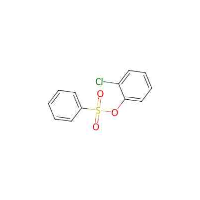 O=S(=O)(Oc1ccccc1Cl)c1ccccc1